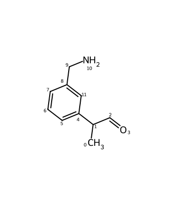 CC(C=O)c1cccc(CN)c1